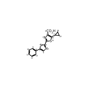 O=C(O)c1nc(-c2ncc(-c3ccccc3)s2)sc1C1CC1